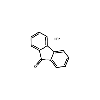 Br.O=C1c2ccccc2-c2ccccc21